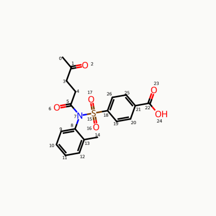 CC(=O)CCC(=O)N(c1ccccc1C)S(=O)(=O)c1ccc(C(=O)O)cc1